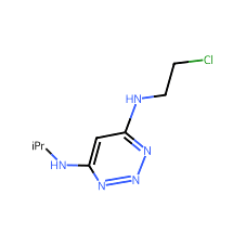 CC(C)Nc1cc(NCCCl)nnn1